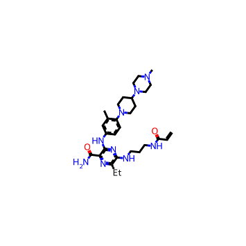 C=CC(=O)NCCCNc1nc(Nc2ccc(N3CCC(N4CCN(C)CC4)CC3)c(C)c2)c(C(N)=O)nc1CC